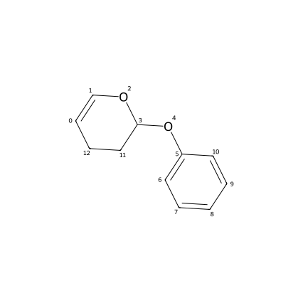 C1=COC(Oc2ccccc2)CC1